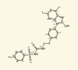 CCCc1nc2c(C)cc(C)nc2n1-c1ccc(CCNC(=O)NS(=O)(=O)c2ccc(C)cc2)cc1